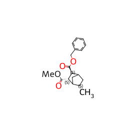 COC(=O)[C@H]1C2CC(C[C@@H]2C)[C@@H]1C(=O)OCc1ccccc1